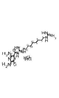 Cl.Cl.N=C(N)NCCCCCCCCCNC(=N)NC(=O)c1nc(Cl)c(N)nc1N